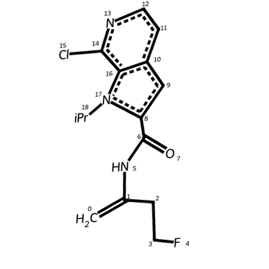 C=C(CCF)NC(=O)c1cc2ccnc(Cl)c2n1C(C)C